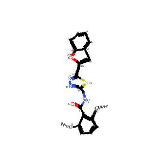 COc1cccc(OC)c1C(=O)Nc1nnc(-c2cc3ccccc3o2)s1